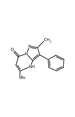 Cc1nn2c(=O)cc(C(C)(C)C)[nH]c2c1-c1ccccc1